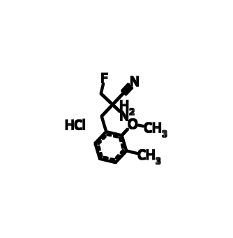 COc1c(C)cccc1CC(N)(C#N)CF.Cl